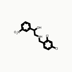 O=[N+]([O-])c1cccc(C(O)CNCc2ccc(Cl)cc2Cl)c1